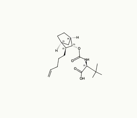 C=CCCC[C@H]1[C@H]2CC[C@H](C2)[C@@H]1OC(=O)N[C@H](C(=O)O)C(C)(C)C